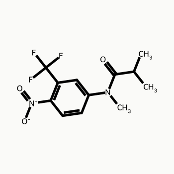 CC(C)C(=O)N(C)c1ccc([N+](=O)[O-])c(C(F)(F)F)c1